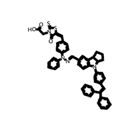 O=C(O)CN1C(=O)/C(=C\c2ccc(N(/N=C/c3ccc4c(c3)C3CCCC3N4c3ccc(C=C(c4ccccc4)c4ccccc4)cc3)c3ccccc3)cc2)SC1=S